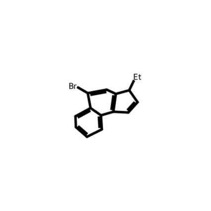 CCC1C=Cc2c1cc(Br)c1ccccc21